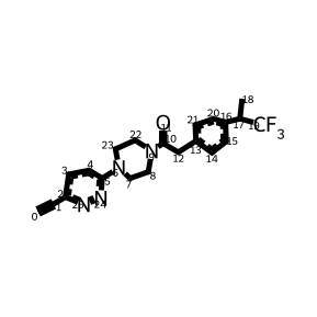 C#Cc1ccc(N2CCN(C(=O)Cc3ccc(C(C)C(F)(F)F)cc3)CC2)nn1